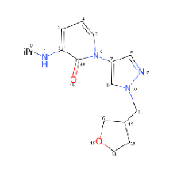 CC(C)Nc1cccn(-c2cnn(CC3CCOC3)c2)c1=O